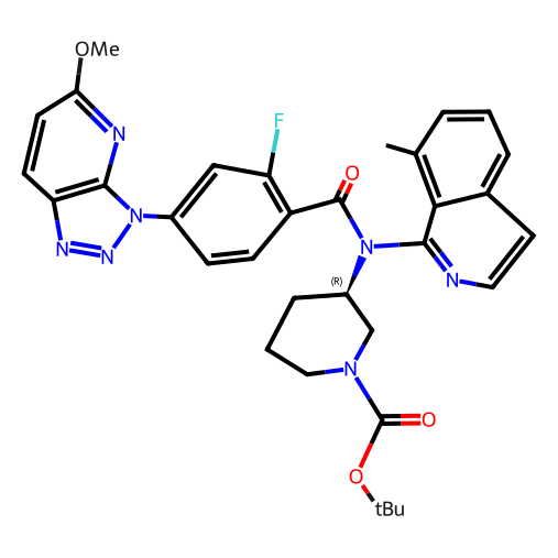 COc1ccc2nnn(-c3ccc(C(=O)N(c4nccc5cccc(C)c45)[C@@H]4CCCN(C(=O)OC(C)(C)C)C4)c(F)c3)c2n1